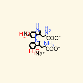 N[C@@H](Cc1c[nH]c2ccccc12)C(=O)[O-].N[C@@H](Cc1c[nH]c2ccccc12)C(=O)[O-].O.O.[Na+].[Na+]